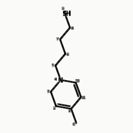 CC1=CCN(CCCCS)C=C1